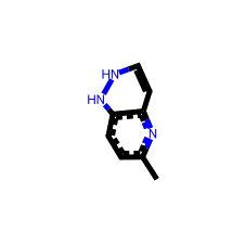 Cc1ccc2c(n1)C=CNN2